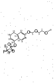 COCCOCOc1ccc2c(c1)CCC=C2OS(=O)(=O)C(F)(F)F